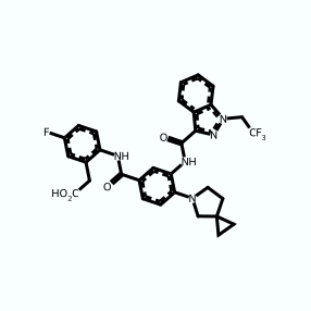 O=C(O)Cc1cc(F)ccc1NC(=O)c1ccc(N2CCC3(CC3)C2)c(NC(=O)c2nn(CC(F)(F)F)c3ccccc23)c1